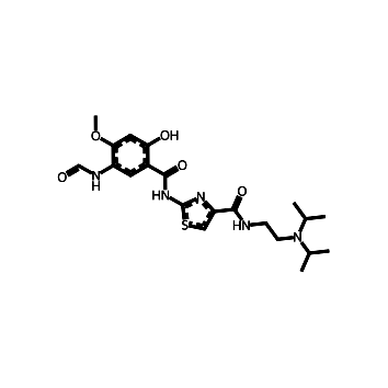 COc1cc(O)c(C(=O)Nc2nc(C(=O)NCCN(C(C)C)C(C)C)cs2)cc1NC=O